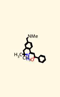 CNCc1ccc2c(c1)CC(C)(C)NC2=CC(=O)c1ccccc1